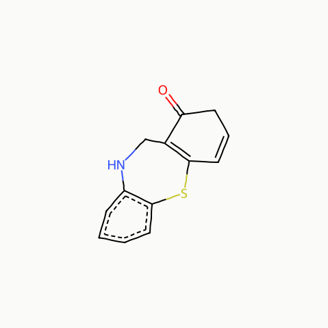 O=C1CC=CC2=C1CNc1ccccc1S2